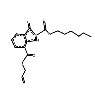 C=CCOC(=O)c1cccc2c(=O)n(C(=O)NCCCCCC)[nH]c12